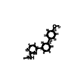 CNc1nccc(-c2cccc(-c3ccc(OC)cc3)c2)n1